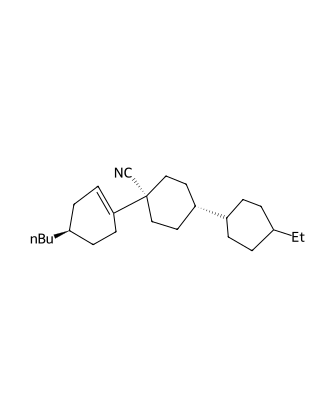 CCCC[C@H]1CC=C([C@]2(C#N)CC[C@@H](C3CCC(CC)CC3)CC2)CC1